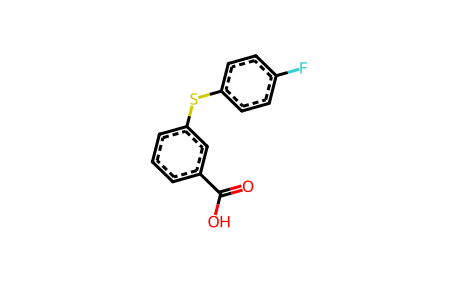 O=C(O)c1cccc(Sc2ccc(F)cc2)c1